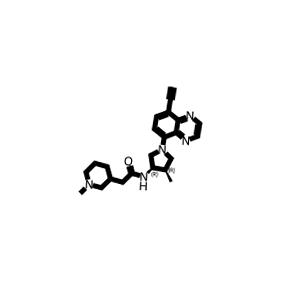 C#Cc1ccc(N2C[C@@H](C)[C@@H](NC(=O)CC3CCCN(C)C3)C2)c2nccnc12